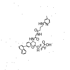 Cc1ccnc(NCCCC(=O)NCC(=O)NC(CC(=O)O)c2ccc(-c3cccc4ccccc34)cc2)c1.O=C(O)C(F)(F)F